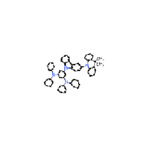 CC1(C)c2ccccc2N(c2ccc3c(c2)c2ccccc2n3-c2cc(N(c3ccccc3)c3ccccc3)cc(N(c3ccccc3)c3ccccc3)c2)c2ccccc21